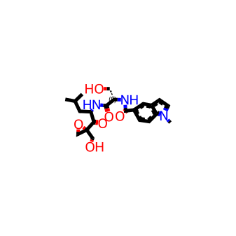 CC(C)CC(NC(=O)[C@H](CO)NC(=O)c1ccc2c(ccn2C)c1)C(=O)C1(CO)CO1